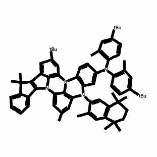 Cc1cc2c3c(c1)-n1c4c(c5cc(C(C)(C)C)cc(c51)B3c1ccc(N(c3ccc(C(C)(C)C)cc3C)c3ccc(C(C)(C)C)cc3C)cc1N2c1cc2c(cc1C)C(C)(C)CCC2(C)C)C(C)(C)c1ccccc1-4